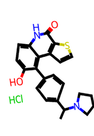 CC(c1ccc(-c2c(O)ccc3[nH]c(=O)c4sccc4c23)cc1)N1CCCC1.Cl